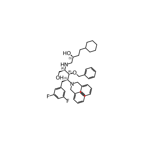 OC[C@@H](NC[C@@H](O)CCC1CCCCC1)[C@@H](OCc1ccccc1)[C@H](Cc1cc(F)cc(F)c1)N(Cc1ccccc1)Cc1ccccc1